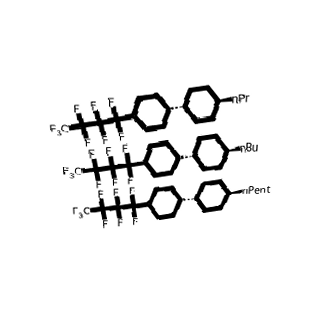 CCCCC[C@H]1CC[C@H](C2CCC(C(F)(F)C(F)(F)C(F)(F)C(F)(F)F)CC2)CC1.CCCC[C@H]1CC[C@H](C2CCC(C(F)(F)C(F)(F)C(F)(F)C(F)(F)F)CC2)CC1.CCC[C@H]1CC[C@H](C2CCC(C(F)(F)C(F)(F)C(F)(F)C(F)(F)F)CC2)CC1